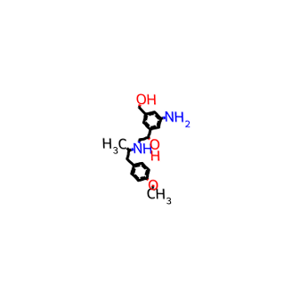 COc1ccc(CC(C)NCC(O)c2cc(N)cc(CO)c2)cc1